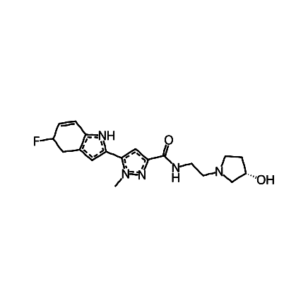 Cn1nc(C(=O)NCCN2CC[C@H](O)C2)cc1-c1cc2c([nH]1)C=CC(F)C2